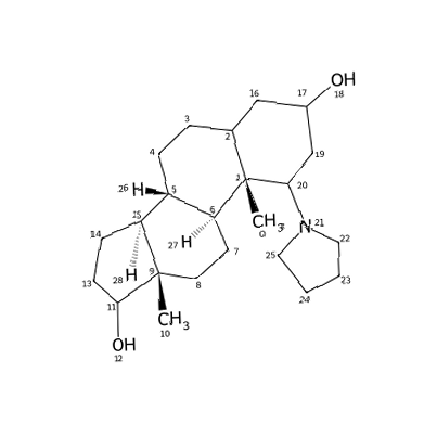 C[C@]12C(CC[C@@H]3[C@@H]1CC[C@]1(C)C(O)CC[C@@H]31)CC(O)CC2N1CCCC1